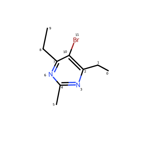 CCc1nc(C)nc(CC)c1Br